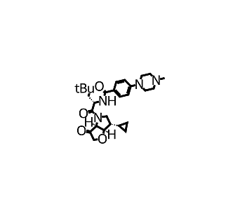 CN1CCN(c2ccc(C(=O)N[C@@H](CC(C)(C)C)C(=O)N3C[C@H](C4CC4)[C@H]4OCC(=O)[C@H]43)cc2)CC1